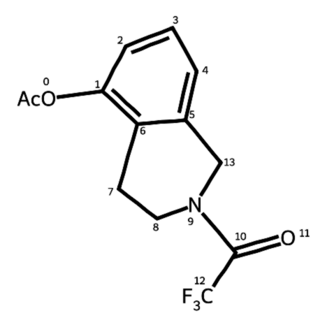 CC(=O)Oc1cccc2c1CCN(C(=O)C(F)(F)F)C2